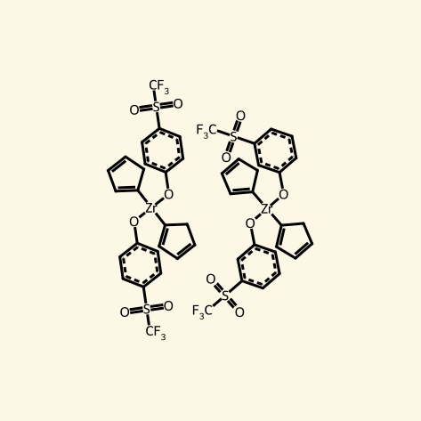 O=S(=O)(c1ccc([O][Zr]([O]c2ccc(S(=O)(=O)C(F)(F)F)cc2)([C]2=CC=CC2)[C]2=CC=CC2)cc1)C(F)(F)F.O=S(=O)(c1cccc([O][Zr]([O]c2cccc(S(=O)(=O)C(F)(F)F)c2)([C]2=CC=CC2)[C]2=CC=CC2)c1)C(F)(F)F